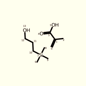 C=C(C)C(=O)O.C[Si](C)(C)CCCO